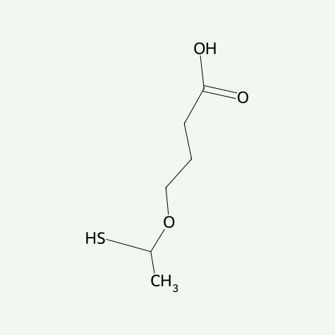 CC(S)OCCCC(=O)O